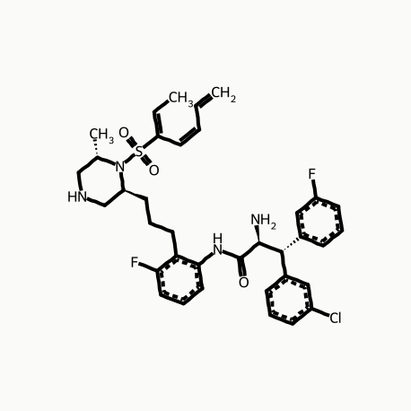 C=C/C=C\C(=C/C)S(=O)(=O)N1[C@@H](CCCc2c(F)cccc2NC(=O)[C@@H](N)[C@H](c2cccc(F)c2)c2cccc(Cl)c2)CNC[C@@H]1C